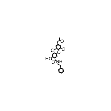 CC(=O)Cc1cc(Cl)c(Oc2ccc(O)c(C(=O)NCCc3ccccc3)c2)c(Cl)c1